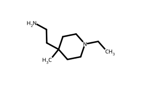 CCN1CCC(C)(CCN)CC1